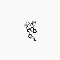 CC(C)(OCc1cc(-c2cccc(OC3CC3)c2)n(-c2ccccc2C2CC[C@@H](O)C2)n1)C(=O)O